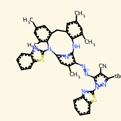 Cc1cc(C)c2c(c1)Cc1cc(C)cc(C)c1N(c1nc3ccccc3s1)c1cc(C)c(/N=N/c3c(C#N)c(C(C)(C)C)nn3-c3nc4ccccc4s3)c(n1)N2